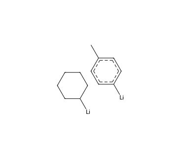 [Li][CH]1CCCCC1.[Li][c]1ccc(C)cc1